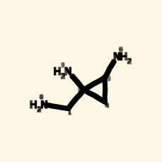 NCC1(N)CC1N